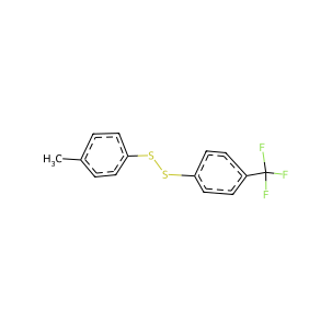 Cc1ccc(SSc2ccc(C(F)(F)F)cc2)cc1